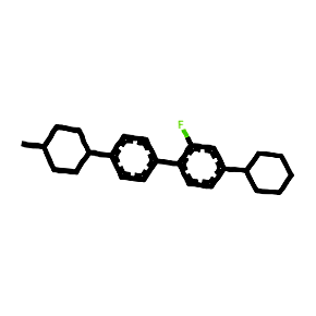 CC1CCC(c2ccc(-c3ccc(C4CCCCC4)cc3F)cc2)CC1